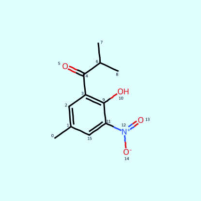 Cc1cc(C(=O)C(C)C)c(O)c([N+](=O)[O-])c1